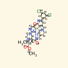 CCOC(=O)CC(C)N1CCN(c2ncc(Oc3cc(CN4CCC(CNC(C)=O)CC4)cc(-c4cc(Cl)cc(Cl)c4)n3)cn2)CC1